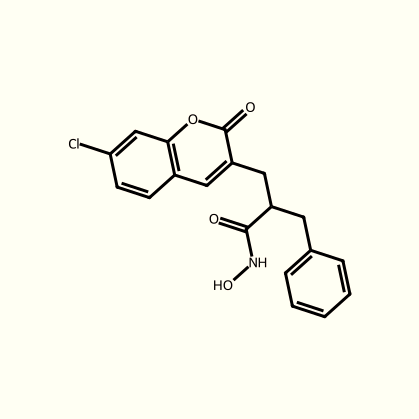 O=C(NO)C(Cc1ccccc1)Cc1cc2ccc(Cl)cc2oc1=O